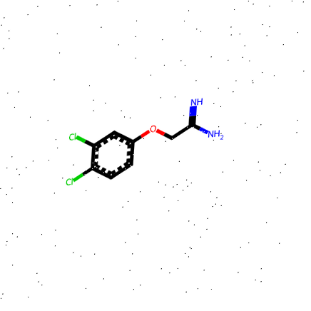 N=C(N)COc1ccc(Cl)c(Cl)c1